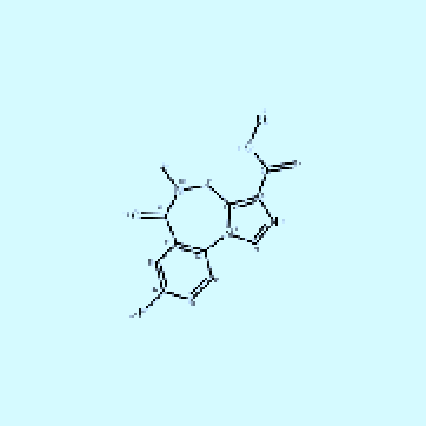 C=C(OCC)c1ncn2c1CN(C)C(=O)c1cc(F)ccc1-2